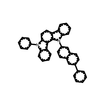 c1ccc(-c2ccc3cc(-n4c5ccccc5c5ccc6c(c7ccccc7n6-c6ccccc6)c54)ccc3c2)cc1